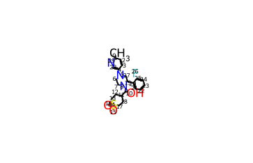 Cc1ccc(N2CCN(C(O)C3CCS(=O)(=O)CC3)C(c3ccccc3F)C2)cn1